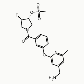 Cc1cc(CN)cc(Oc2cccc(C(=O)N3C[C@@H](F)[C@H](OS(C)(=O)=O)C3)c2)n1